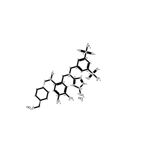 CCN(C[C@H]1CC[C@H](CC(=O)O)CC1)c1cc(C(F)(F)F)c(C)cc1CN(Cc1cc(S(=O)(=O)C(F)(F)F)cc(S(=O)(=O)C(F)(F)F)c1)c1nnn(C)n1.Cl